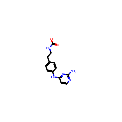 Nc1nccc(Nc2ccc(CCNC(=O)O)cc2)n1